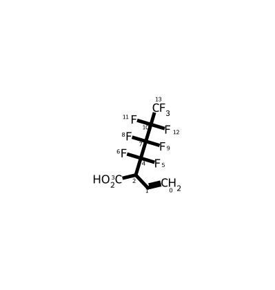 C=CC(C(=O)O)C(F)(F)C(F)(F)C(F)(F)C(F)(F)F